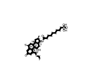 C[C@@H]1C[C@H]2[C@@H]3C[C@H](F)C4=CC(=O)C=C(C(=O)SCF)[C@@]4(C)[C@@]3(F)[C@@H](O)C[C@]2(C)[C@@H]1OC(=O)CCCCCCCCP(=O)(O)O